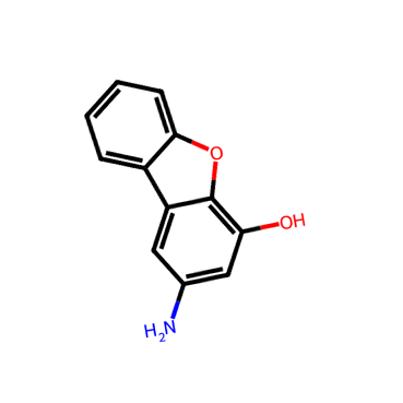 Nc1cc(O)c2oc3ccccc3c2c1